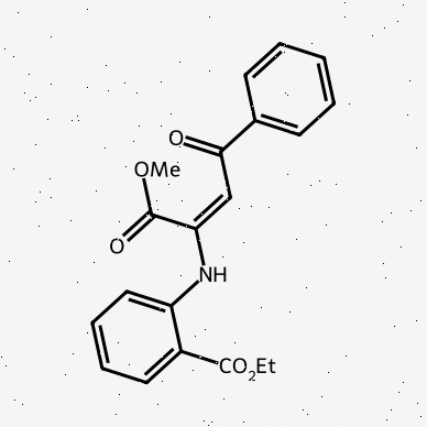 CCOC(=O)c1ccccc1NC(=CC(=O)c1ccccc1)C(=O)OC